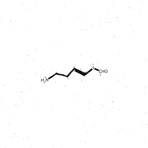 NCC/C=C/SC=O